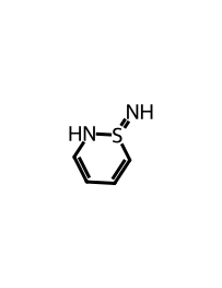 N=S1C=CC=CN1